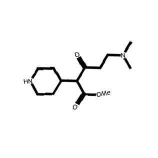 COC(=O)C(C(=O)CCN(C)C)C1CCNCC1